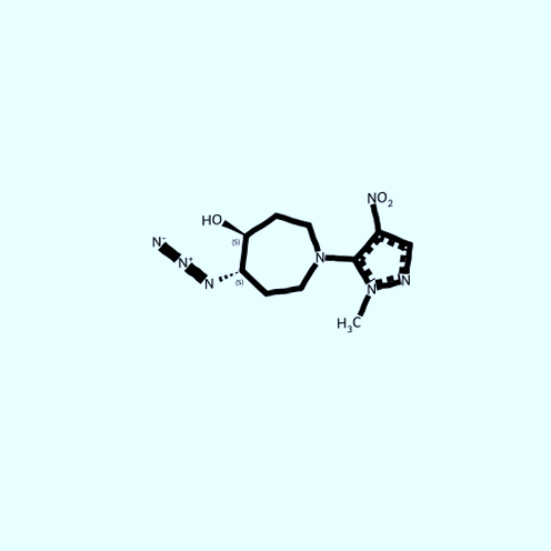 Cn1ncc([N+](=O)[O-])c1N1CC[C@H](N=[N+]=[N-])[C@@H](O)CC1